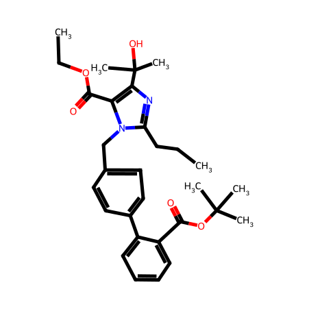 CCCc1nc(C(C)(C)O)c(C(=O)OCC)n1Cc1ccc(-c2ccccc2C(=O)OC(C)(C)C)cc1